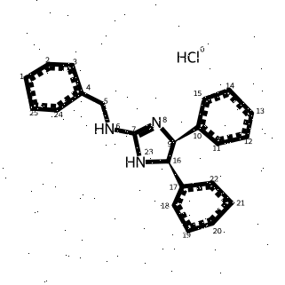 Cl.c1ccc(CNC2=N[C@@H](c3ccccc3)[C@@H](c3ccccc3)N2)cc1